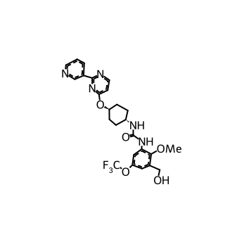 COc1c(CO)cc(OC(F)(F)F)cc1NC(=O)N[C@H]1CC[C@H](Oc2ccnc(-c3cccnc3)n2)CC1